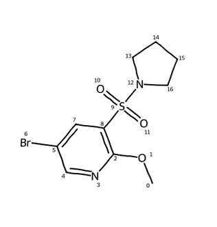 COc1ncc(Br)cc1S(=O)(=O)N1CCCC1